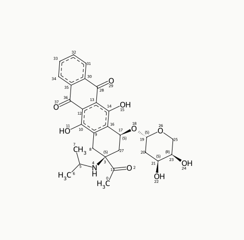 CC(=O)[C@]1(NC(C)C)Cc2c(O)c3c(c(O)c2[C@@H](O[C@H]2C[C@H](O)[C@H](O)CO2)C1)C(=O)c1ccccc1C3=O